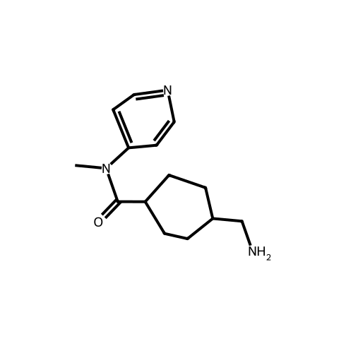 CN(C(=O)C1CCC(CN)CC1)c1ccncc1